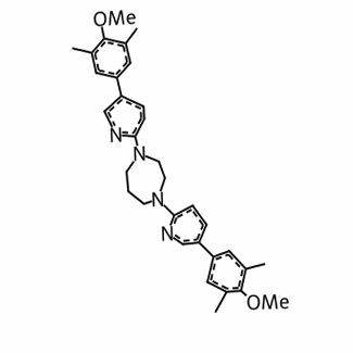 COc1c(C)cc(-c2ccc(N3CCCN(c4ccc(-c5cc(C)c(OC)c(C)c5)cn4)CC3)nc2)cc1C